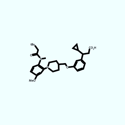 COc1ccc(N(C)C(=O)CC(C)(C)C)c(N2CCC(COc3cccc(C(CC(=O)O)C4CC4)c3)CC2)c1